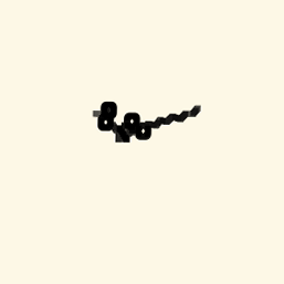 CCCCCCCCCOC(=O)C[N+](C)(C)CCOC(C)=O